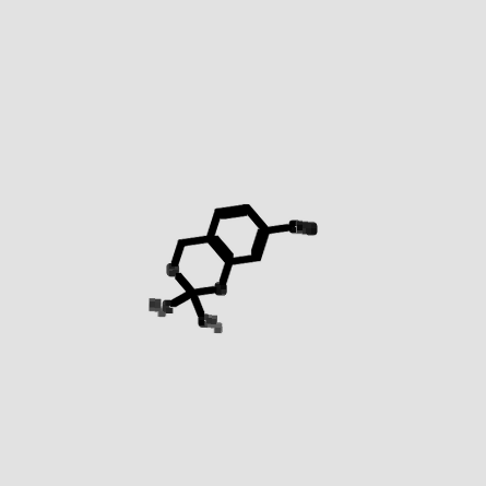 CC1(C)OCc2ccc(C=O)cc2O1